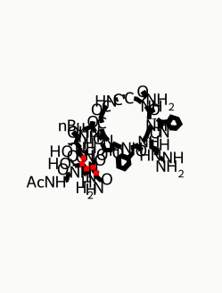 CCCC[C@H](NC(=O)[C@H](CO)NC(=O)[C@H](Cc1c[nH]cn1)NC(=O)[C@H](CCC(N)=O)NC(=O)[C@H](CO)NC(=O)CNC(C)=O)C(=O)N[C@H]1CCC(=O)CNCCCC[C@@H](C(N)=O)NC(=O)[C@H](Cc2c[nH]c3ccccc23)NC(=O)[C@H](CCCNC(=N)N)NC(=O)[C@@H](Cc2ccccc2)NC(=O)[C@@H]2C[C@@H](O)CN2C1=O